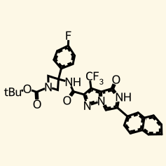 CC(C)(C)OC(=O)N1CC(NC(=O)c2nn3cc(-c4ccc5ccccc5c4)[nH]c(=O)c3c2C(F)(F)F)(c2ccc(F)cc2)C1